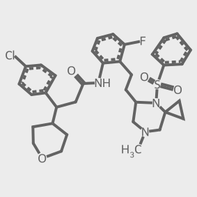 CN1CC(CCc2c(F)cccc2NC(=O)CC(c2ccc(Cl)cc2)C2CCOCC2)N(S(=O)(=O)c2ccccc2)C2(CC2)C1